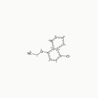 N#CCOc1ccc(Cl)c2cccnc12